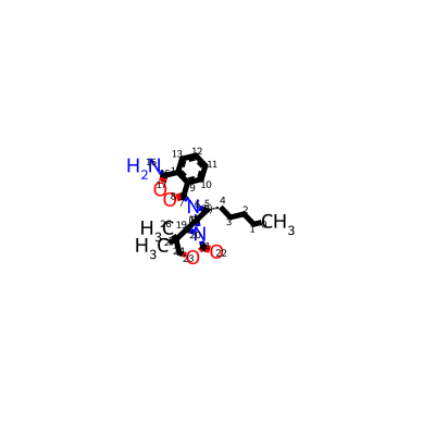 CCCCC[C@H]1N(C(=O)c2ccccc2C(N)=O)[C@]12C1N2C(=O)OCC1(C)C